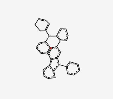 c1c(-c2ccccc2N(C2=CC=CCC2)c2ccccc2)cc2c(c#1)c1ccccc1n2-c1ccccc1